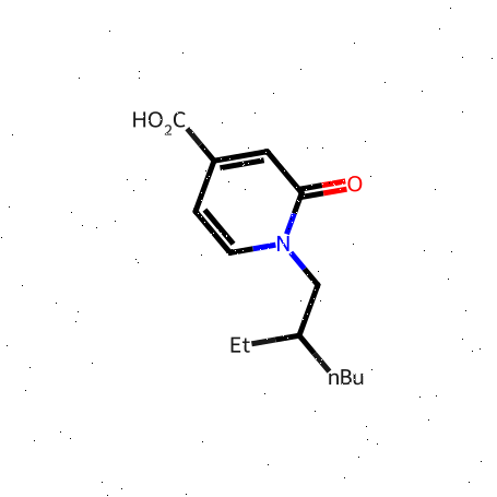 CCCCC(CC)Cn1ccc(C(=O)O)cc1=O